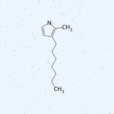 CCCCCCCC1=C(C)[N]C=C1